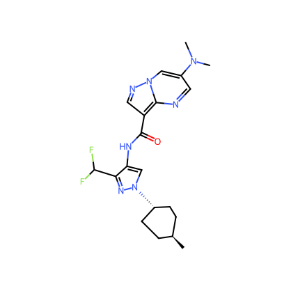 CN(C)c1cnc2c(C(=O)Nc3cn([C@H]4CC[C@H](C)CC4)nc3C(F)F)cnn2c1